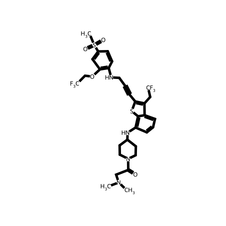 CN(C)CC(=O)N1CCC(Nc2cccc3c(CC(F)(F)F)c(C#CCNc4ccc(S(C)(=O)=O)cc4OCC(F)(F)F)sc23)CC1